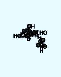 O=CNC(CCCCC(=O)OC1CC(=O)NC1=O)c1ccc2c(c1)C(=O)OC21c2ccc(O)cc2Oc2cc(O)ccc21